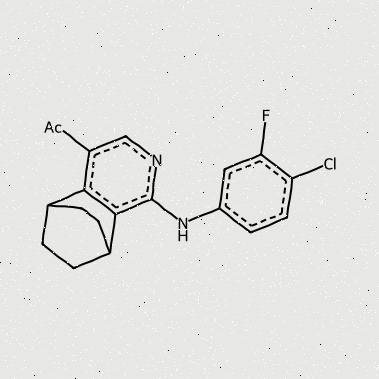 CC(=O)c1cnc(Nc2ccc(Cl)c(F)c2)c2c1C1CCC2CC1